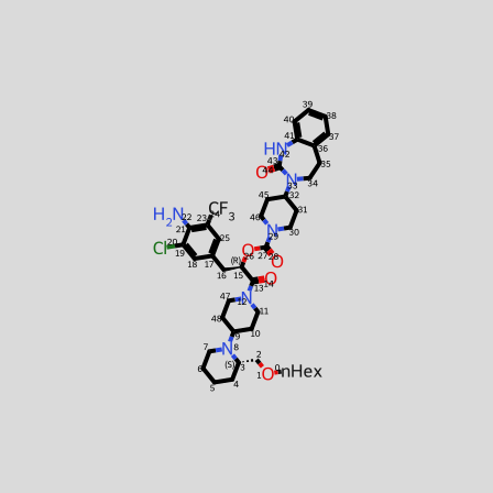 CCCCCCOC[C@@H]1CCCCN1C1CCN(C(=O)[C@@H](Cc2cc(Cl)c(N)c(C(F)(F)F)c2)OC(=O)N2CCC(N3CCc4ccccc4NC3=O)CC2)CC1